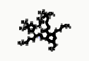 COCOc1cc(OC)cc(/C=C/C(OCOC)[C@@H]2OC(C)(C)O[C@@H]2CO)c1C(=O)OCC[Si](C)(C)C